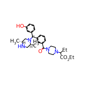 CCOC(=O)C(CC)N1CCN(C(=O)c2cccc([C@H](c3cccc(O)c3)N3C[C@@H](C)NC[C@@H]3C)c2)CC1